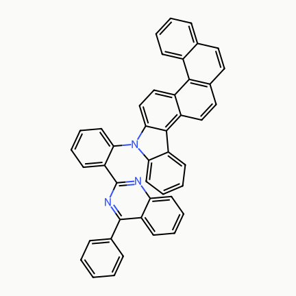 c1ccc(-c2nc(-c3ccccc3-n3c4ccccc4c4c5ccc6ccc7ccccc7c6c5ccc43)nc3ccccc23)cc1